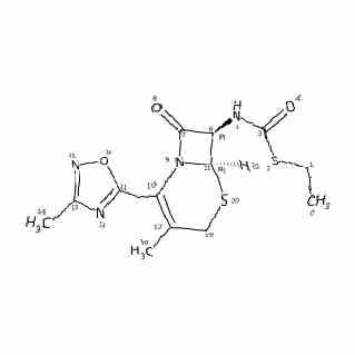 CCSC(=O)N[C@@H]1C(=O)N2C(c3nc(C)no3)=C(C)CS[C@H]12